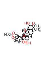 CC(=O)OC(C)(C)/C=C/C(=O)C(C)(O)C1[C@H](O)C[C@@]2(C)[C@@H]3CC=C4[C@@H](C[C@H](O)C(=O)C4(C)C)[C@]3(C)C(=O)C[C@]12C